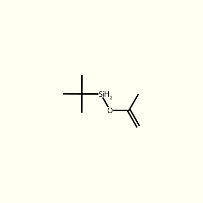 C=C(C)O[SiH2]C(C)(C)C